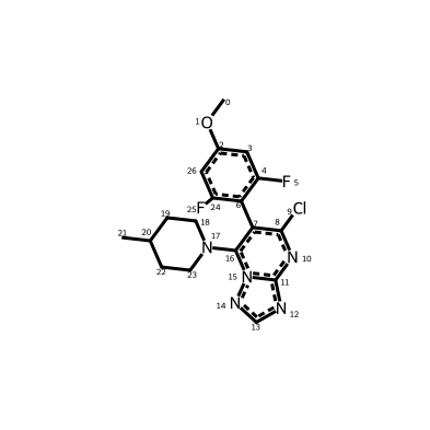 COc1cc(F)c(-c2c(Cl)nc3ncnn3c2N2CCC(C)CC2)c(F)c1